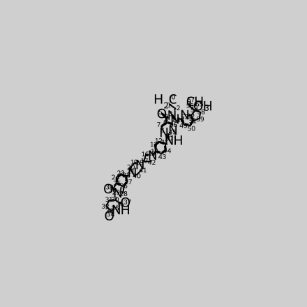 C=CCn1c(=O)c2cnc(Nc3ccc(N4CC(N5CCN(c6ccc7c(c6)CN(C6CCC(=O)NC6=O)C7=O)CC5)C4)cc3)nc2n1-c1ccc2c(n1)[C@@](O)(CC)CC2